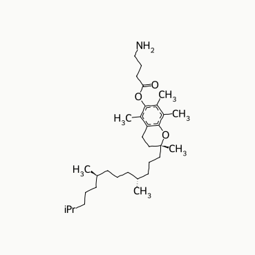 Cc1c(C)c2c(c(C)c1OC(=O)CCCN)CC[C@@](C)(CCC[C@H](C)CCC[C@H](C)CCCC(C)C)O2